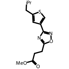 [CH2]C(C)Cc1cc(-c2noc(CCC(=O)OC)n2)cs1